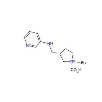 CC(C)(C)[N+]1(C(=O)O)CC[C@@H](CNc2cccnc2)C1